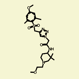 COCCN1CCC(NC(=O)Cn2cc(CS(=O)(=O)c3c(C)cc(OC)cc3C)nn2)C(C)(C)C1